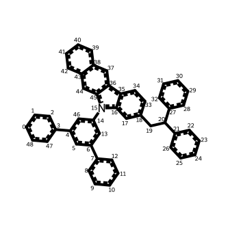 c1ccc(-c2cc(-c3ccccc3)cc(-n3c4cc(CC(c5ccccc5)c5ccccc5)ccc4c4cc5ccccc5cc43)c2)cc1